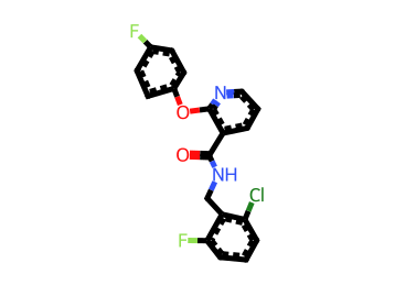 O=C(NCc1c(F)cccc1Cl)c1cccnc1Oc1ccc(F)cc1